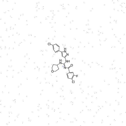 O=C(/N=C(\Nc1cc(-c2ccc(Cl)cc2)[nH]n1)NC1CCOCC1)c1ccc(Cl)c(F)c1